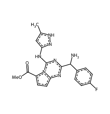 COC(=O)c1ccc2nc(C(N)c3ccc(F)cc3)nc(Nc3cc(C)[nH]n3)n12